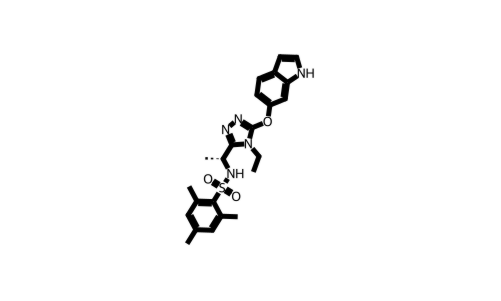 CCn1c(Oc2ccc3cc[nH]c3c2)nnc1[C@@H](C)NS(=O)(=O)c1c(C)cc(C)cc1C